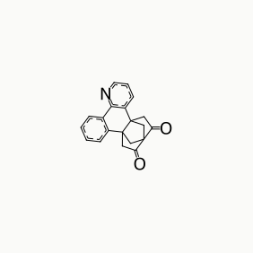 O=C1CC23CC14CC2(CC4=O)c1cccnc1-c1ccccc13